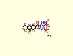 CCCOC(=O)N1CCN(C(=O)c2ccc3c(Cl)c4c(nc3c2)CCCC4)CC1C(=O)NC